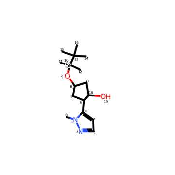 Cn1nccc1C1CC(O[Si](C)(C)C(C)(C)C)CC1O